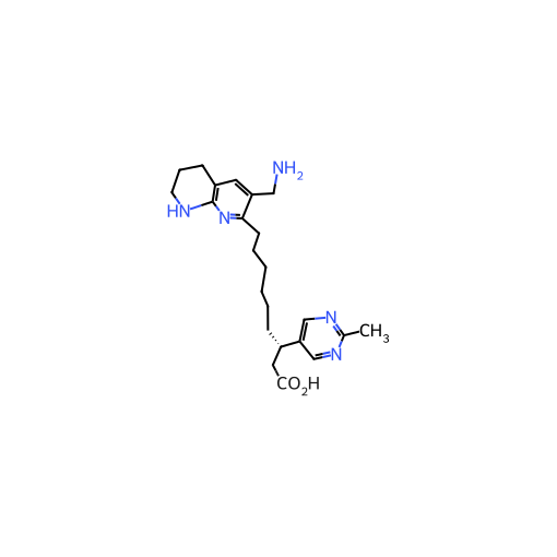 Cc1ncc([C@@H](CCCCCCc2nc3c(cc2CN)CCCN3)CC(=O)O)cn1